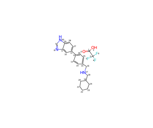 O=C(O)C(F)(F)F.c1nc2cc(-c3ccc(CNCC4CCCCC4)cc3)ccc2[nH]1